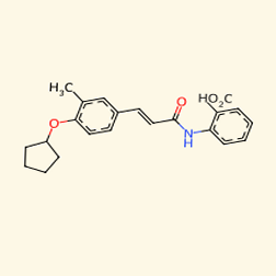 Cc1cc(/C=C/C(=O)Nc2ccccc2C(=O)O)ccc1OC1CCCC1